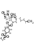 C=CCCC[C@@H]1CC(OC(=O)c2ccc(S(C)(=O)=O)cc2)C[C@](O)([C@@H]2CSC(=O)N2)O1